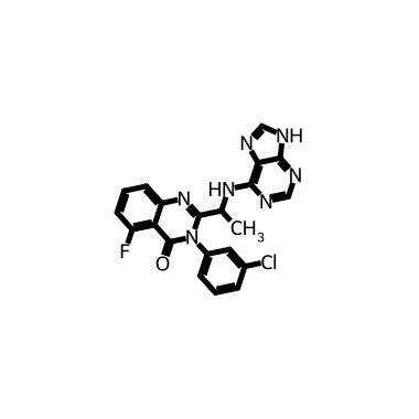 CC(Nc1ncnc2[nH]cnc12)c1nc2cccc(F)c2c(=O)n1-c1cccc(Cl)c1